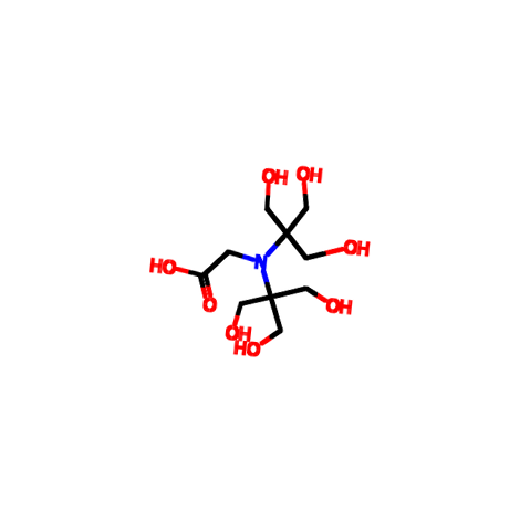 O=C(O)CN(C(CO)(CO)CO)C(CO)(CO)CO